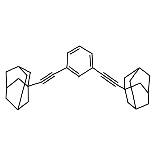 C(#CC12CC3CC(CC(C3)C1)C2)c1[c]c(C#CC23CC4CC(CC(C4)C2)C3)ccc1